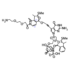 C=C/C(=C(\C=C/NC(=O)COCCOCCN)C(=O)OCC#Cc1cn([C@H]2C[C@@H](OC(=O)c3ccccc3C(C)SSC)C(COP(=O)(O)OP(=O)(O)OP(=O)(O)O)O2)c2nc(N)[nH]c(=O)c12)C(C)SSC